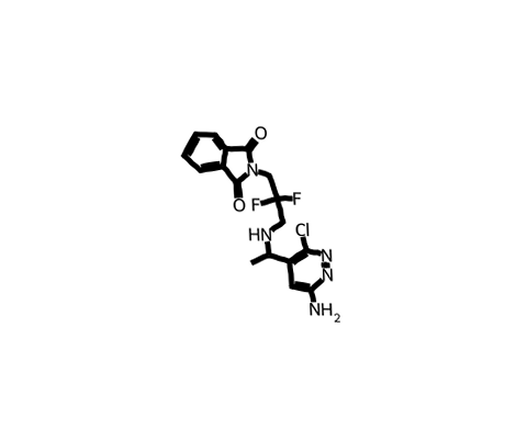 CC(NCC(F)(F)CN1C(=O)c2ccccc2C1=O)c1cc(N)nnc1Cl